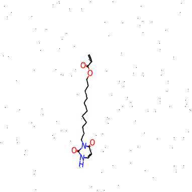 C=CC(=O)OCCCCCCCCCCCn1c(=O)cc[nH]c1=O